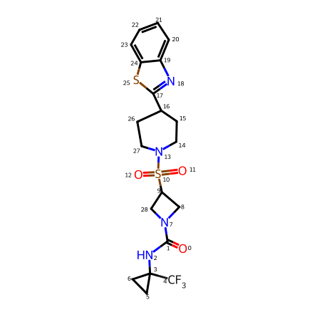 O=C(NC1(C(F)(F)F)CC1)N1CC(S(=O)(=O)N2CCC(c3nc4ccccc4s3)CC2)C1